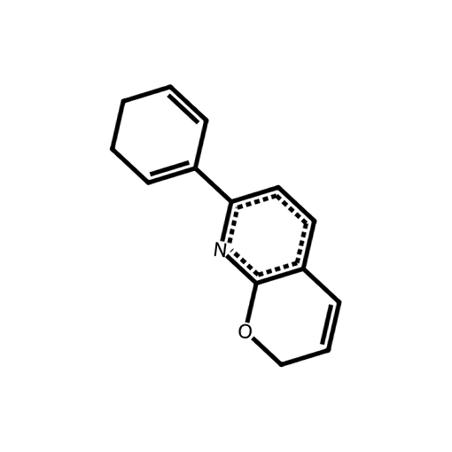 C1=CC(c2ccc3c(n2)OCC=C3)=CCC1